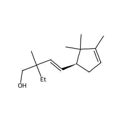 CCC(C)(/C=C/[C@@H]1CC=C(C)C1(C)C)CO